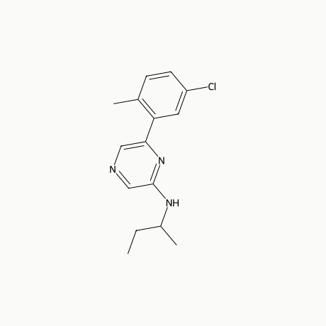 CCC(C)Nc1cncc(-c2cc(Cl)ccc2C)n1